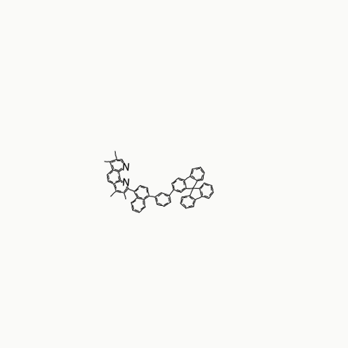 Cc1cnc2c(ccc3c(C)c(C)c(-c4ccc(-c5cccc(-c6ccc7c(c6)C6(c8ccccc8-c8ccccc86)c6ccccc6-7)c5)c5ccccc45)nc32)c1C